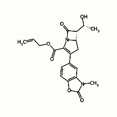 C=CCOC(=O)C1=C(c2ccc3oc(=O)n(C)c3c2)CC2[C@@H]([C@@H](C)O)C(=O)N12